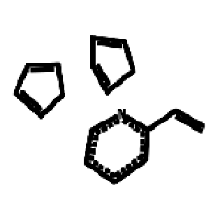 C1=CCC=C1.C1=CCC=C1.C=Cc1ccccn1